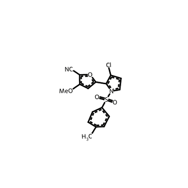 COc1cc(-c2c(Cl)ccn2S(=O)(=O)c2ccc(C)cc2)oc1C#N